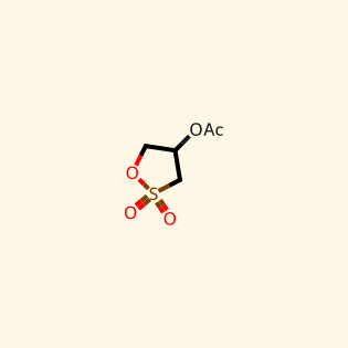 CC(=O)OC1COS(=O)(=O)C1